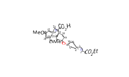 CCOC(=O)/C=C/c1ccc(Oc2ccc(/C(=C\c3cc(OC)cc(OC)c3)C(=O)O)cc2)cc1